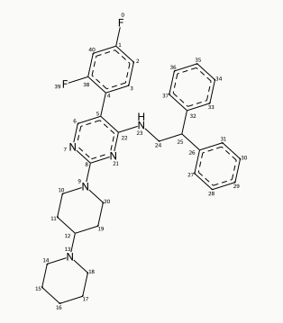 Fc1ccc(-c2cnc(N3CCC(N4CCCCC4)CC3)nc2NCC(c2ccccc2)c2ccccc2)c(F)c1